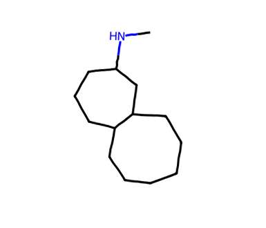 CNC1CCCC2CCCCCCC2C1